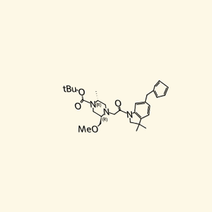 COC[C@H]1CN(C(=O)OC(C)(C)C)[C@H](C)CN1CC(=O)N1CC(C)(C)c2ccc(Cc3ccccc3)cc21